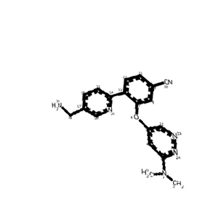 CN(C)c1cc(Oc2cc(C#N)ccc2-c2ccc(CN)cn2)cnn1